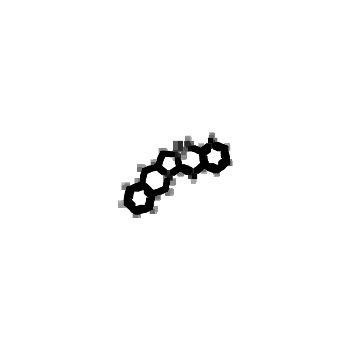 Nc1ncccc1N=C1SCC2Cc3ccccc3CN12